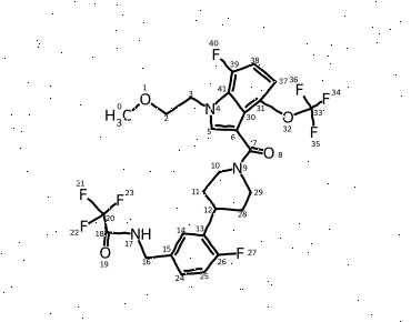 COCCn1cc(C(=O)N2CCC(c3cc(CNC(=O)C(F)(F)F)ccc3F)CC2)c2c(OC(F)(F)F)ccc(F)c21